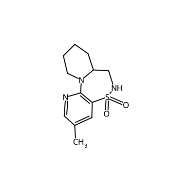 Cc1cnc2c(c1)S(=O)(=O)NCC1CCCCN21